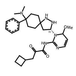 COC1C=CN=C(NC(=O)C(=O)CC2CCC2)N1[C@@H]1CC2(CCC(c3ccccc3)(N(C)C)CC2)NN1